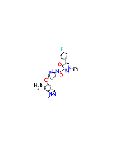 Bc1cc2c(cnn2C)cc1Oc1ccc(NC(=O)c2nn(C(C)C)cc(-c3ccc(F)cc3)c2=O)nc1